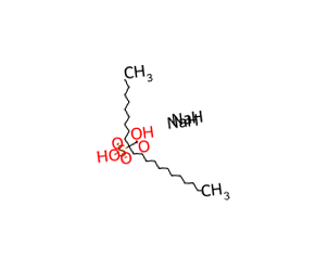 CCCCCCCCCCCCC(CCCCCCCCCC)(C(=O)O)S(=O)(=O)O.[NaH].[NaH]